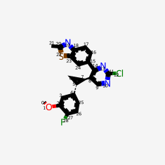 COc1cc([C@@H]2C[C@H]2c2cnc(Cl)nc2-c2ccc3nc(C)sc3c2)ccc1F